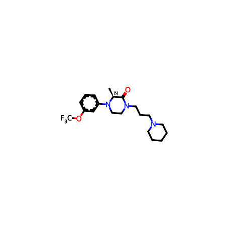 C[C@H]1C(=O)N(CCCN2CCCCC2)CCN1c1cccc(OC(F)(F)F)c1